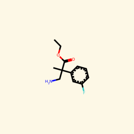 CCOC(=O)C(C)(CN)c1cccc(F)c1